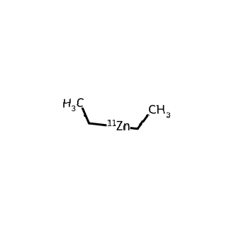 C[CH2][11Zn][CH2]C